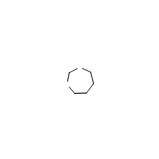 C1CCSCSC1